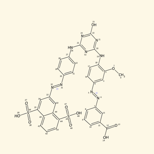 COc1cc(/N=N/c2cccc(C(=O)O)c2)ccc1Nc1nc(O)nc(Nc2ccc(/N=N/c3cc(S(=O)(=O)O)c4cccc(S(=O)(=O)O)c4c3)cc2)n1